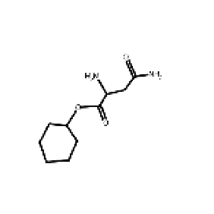 NC(=O)CC(N)C(=O)OC1CCCCC1